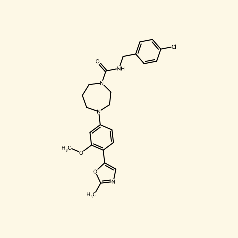 COc1cc(N2CCCN(C(=O)NCc3ccc(Cl)cc3)CC2)ccc1-c1cnc(C)o1